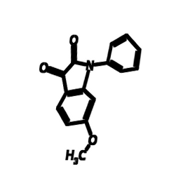 COc1ccc2c(c1)N(c1ccccc1)C(=O)C2=O